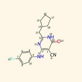 N#Cc1c(Nc2ccc(F)cc2)nc(CC2CCCC2)[nH]c1=O